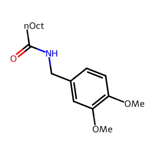 CCCCCCCCC(=O)NCc1ccc(OC)c(OC)c1